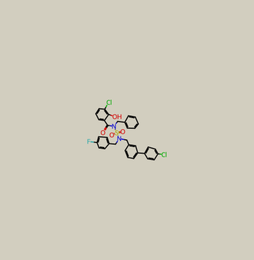 O=C(c1cccc(Cl)c1O)N(Cc1ccccc1)S(=O)(=O)N(Cc1ccc(F)cc1)Cc1cccc(-c2ccc(Cl)cc2)c1